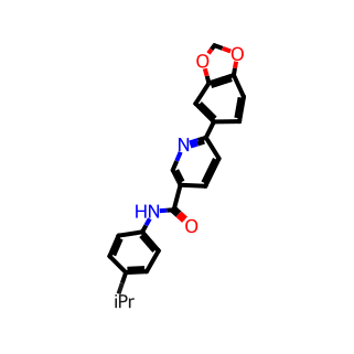 CC(C)c1ccc(NC(=O)c2ccc(-c3ccc4c(c3)OCO4)nc2)cc1